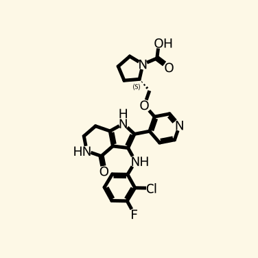 O=C1NCCc2[nH]c(-c3ccncc3OC[C@@H]3CCCN3C(=O)O)c(Nc3cccc(F)c3Cl)c21